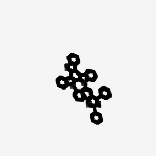 c1ccc(-c2nc(-c3ccccc3)c3cc(-n4c5ccccc5c5c6c7ccccc7sc6c6c7ccccc7n(-c7ccccc7)c6c54)ccc3n2)cc1